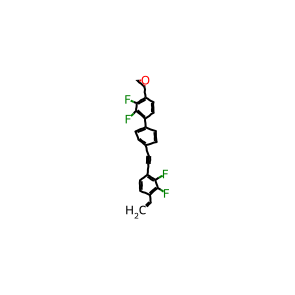 C=Cc1ccc(C#Cc2ccc(-c3ccc(C4CO4)c(F)c3F)cc2)c(F)c1F